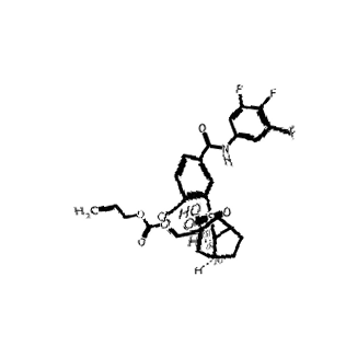 C=CCOC(=O)OC[C@]1(O)CC2CC[C@@H](C1)[C@H]2S(=O)(=O)c1cc(C(=O)Nc2cc(F)c(F)c(F)c2)ccc1Cl